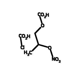 CC(COC(=O)O)O[N+](=O)[O-].O=C(O)Cl